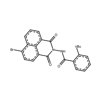 CCCCc1ccccc1C(=O)NN1C(=O)c2cccc3c(Br)ccc(c23)C1=O